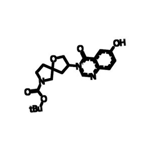 CC(C)(C)OC(=O)N1CCC2(CC(n3cnc4ccc(O)cc4c3=O)CO2)C1